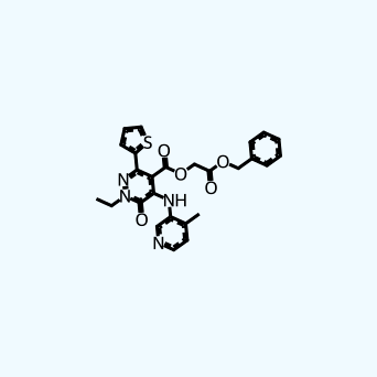 CCn1nc(-c2cccs2)c(C(=O)OCC(=O)OCc2ccccc2)c(Nc2cnccc2C)c1=O